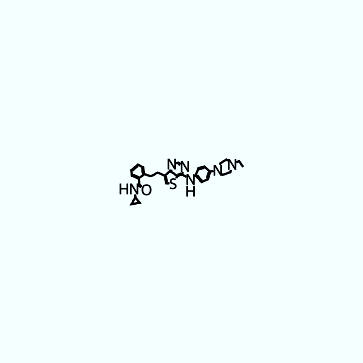 CCN1CCN(c2ccc(Nc3ncnc4c(CCc5ccccc5C(=O)NC5CC5)csc34)cc2)CC1